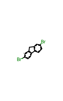 Brc1[c]c2c(cc1)-c1ccc(Br)cc1C2